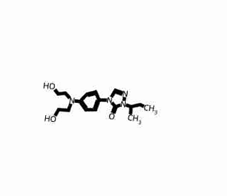 CCC(C)n1ncn(-c2ccc(N(CCO)CCO)cc2)c1=O